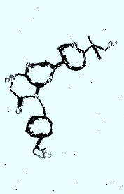 CC(C)(O)c1ccc(-c2cnc3c(n2)N(Cc2ccc(C(F)(F)F)cc2)C(=O)CN3)cn1